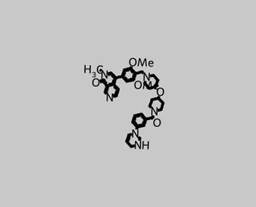 COc1cc(-c2cn(C)c(=O)c3cnccc23)cc(OC)c1CN1CCC(OC2CCN(C(=O)c3cccc(N4C=CCNC4)c3)CC2)CC1